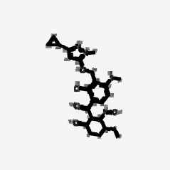 CCC1CCC(=O)C(C(=O)c2ccc(SC)c(COc3cc(C4CC4)nn3C)c2Cl)=C1N=O